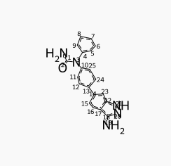 NC(=O)N(c1ccccc1)c1ccc(-c2ccc3c(N)n[nH]c3c2)cc1